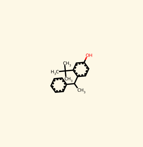 CC(c1ccccc1)c1ccc(O)cc1C(C)(C)C